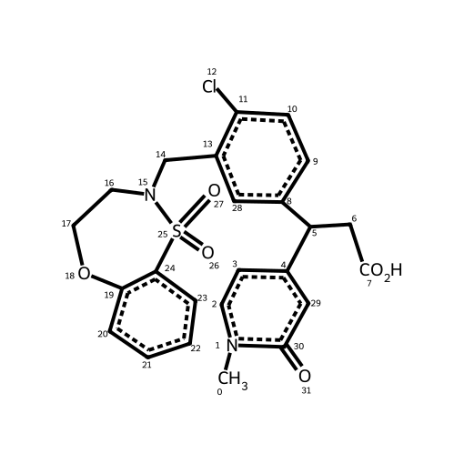 Cn1ccc(C(CC(=O)O)c2ccc(Cl)c(CN3CCOc4ccccc4S3(=O)=O)c2)cc1=O